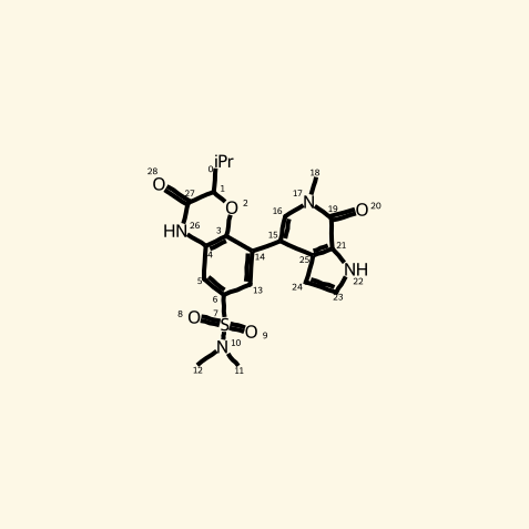 CC(C)C1Oc2c(cc(S(=O)(=O)N(C)C)cc2-c2cn(C)c(=O)c3[nH]ccc23)NC1=O